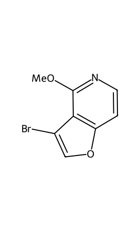 COc1nccc2occ(Br)c12